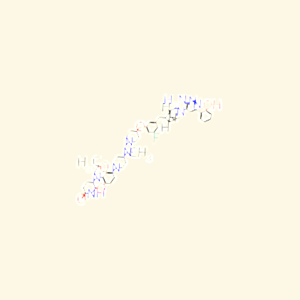 C[C@@H]1CN(C2CCC(=O)NC2=O)c2cccc(N3CCC(N(C)CN4CCC(Oc5cc(F)cc(CC6[C@H]7CN(c8cc(-c9ccccc9O)nnc8N)C[C@@H]8C7[C@H]68)c5)CC4)CC3)c2O1